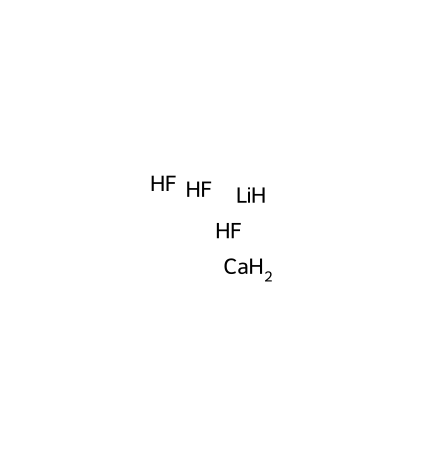 F.F.F.[CaH2].[LiH]